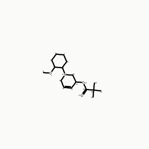 COC1CCCCC1N1CC=CC(OC(=O)C(C)(C)C)C1